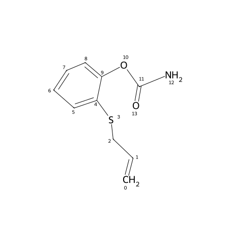 C=CCSc1ccccc1OC(N)=O